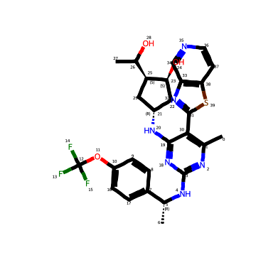 Cc1nc(N[C@H](C)c2ccc(OC(F)(F)F)cc2)nc(N[C@H]2C[C@H](O)[C@H](C(C)O)C2)c1-c1nc2cnccc2s1